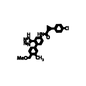 COCc1ccc(-c2ccc(NC(=O)C3CC3c3ccc(Cl)cc3)cc2-c2nnn[nH]2)cc1C